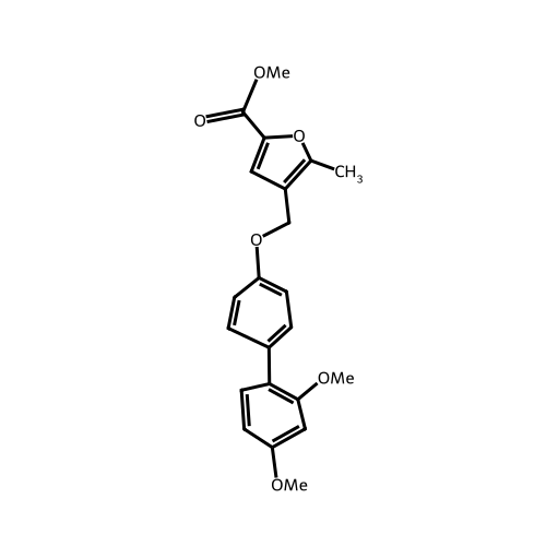 COC(=O)c1cc(COc2ccc(-c3ccc(OC)cc3OC)cc2)c(C)o1